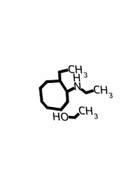 CCNC1CCCCCCC1CC.CCO